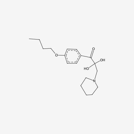 CCCCOc1ccc(C(=O)C(O)(O)CN2CCCCC2)cc1